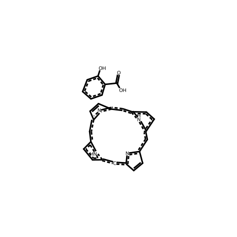 C1=Cc2cc3ccc(cc4nc(cc5ccc(cc1n2)[nH]5)C=C4)[nH]3.O=C(O)c1ccccc1O